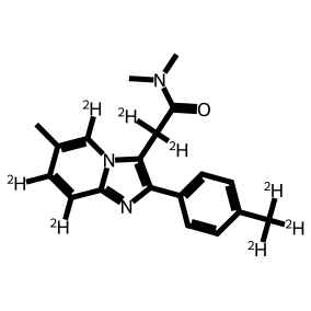 [2H]c1c(C)c([2H])n2c(C([2H])([2H])C(=O)N(C)C)c(-c3ccc(C([2H])([2H])[2H])cc3)nc2c1[2H]